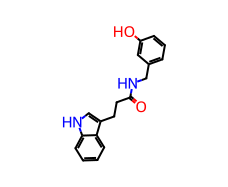 O=C(CCc1c[nH]c2ccccc12)NCc1cccc(O)c1